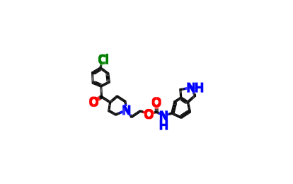 O=C(Nc1ccc2c(c1)CNC2)OCCN1CCC(C(=O)c2ccc(Cl)cc2)CC1